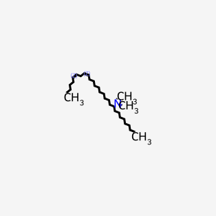 CCCCC/C=C\C/C=C\CCCCCCCCCC(CCCCCCCCC)N(C)CC